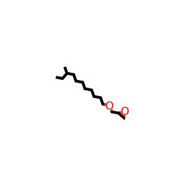 CCC(C)CCCCCCCCOCC1CO1